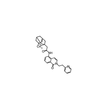 CC12C=C3CC(C1)CC(CC(=O)Nc1cccc4c(=O)n(CCc5ccccn5)ccc14)(C3)C2